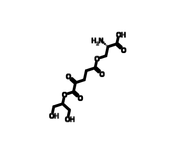 N[C@@H](COC(=O)CCC(=O)C(=O)OC(CO)CO)C(=O)O